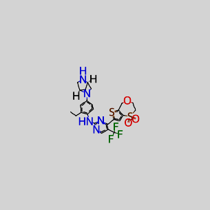 CCc1cc(N2C[C@H]3C[C@@H]2CN3)ccc1Nc1ncc(C(F)(F)F)c(-c2cc3c(s2)COCCS3(=O)=O)n1